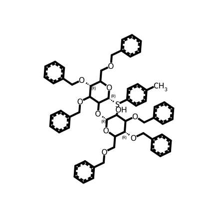 Cc1ccc(S[C@H]2OC(COCc3ccccc3)[C@@H](OCc3ccccc3)C(OCc3ccccc3)C2O[C@H]2OC(COCc3ccccc3)[C@@H](OCc3ccccc3)C(OCc3ccccc3)C2O)cc1